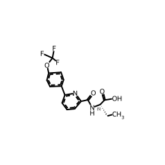 CC[C@H](NC(=O)c1cccc(-c2ccc(OC(F)(F)F)cc2)n1)C(=O)O